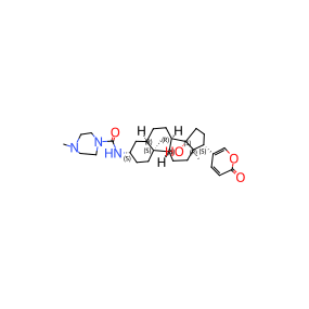 CN1CCN(C(=O)N[C@H]2CC[C@@]3(C)[C@H](CC[C@@H]4[C@@H]3CC[C@]3(C)[C@@H](c5ccc(=O)oc5)CC[C@]43O)C2)CC1